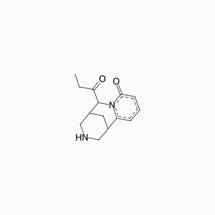 CCC(=O)C1C2CNCC(C2)c2cccc(=O)n21